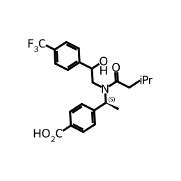 CC(C)CC(=O)N(CC(O)c1ccc(C(F)(F)F)cc1)[C@@H](C)c1ccc(C(=O)O)cc1